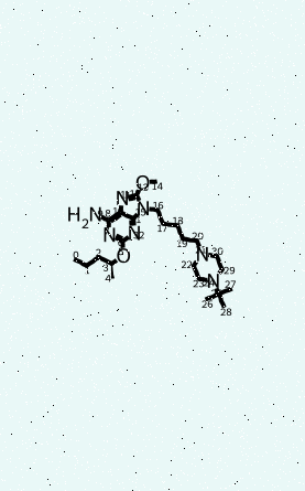 CCC[C@H](C)Oc1nc(N)c2nc(OC)n(CCCCCN3CCN(C(C)(C)C)CC3)c2n1